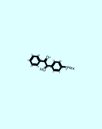 CCCCCCc1ccc(C(O)C(=O)c2ccccc2)cc1